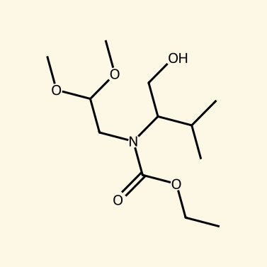 CCOC(=O)N(CC(OC)OC)C(CO)C(C)C